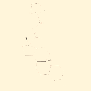 C/C(=N\NC1=NCCN1)[C@@]1(O)CC[C@]2(O)[C@@H]3CC[C@@H]4C[C@@H](O)CC[C@]4(C)[C@H]3CC[C@]12C